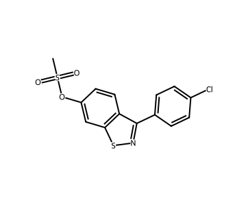 CS(=O)(=O)Oc1ccc2c(-c3ccc(Cl)cc3)nsc2c1